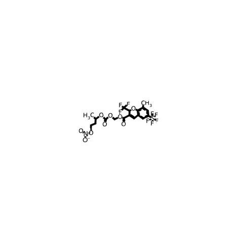 Cc1cc(S(F)(F)(F)(F)F)cc2c1OC(C(F)(F)F)C(C(=O)OCOC(=O)OC(C)CCO[N+](=O)[O-])=C2